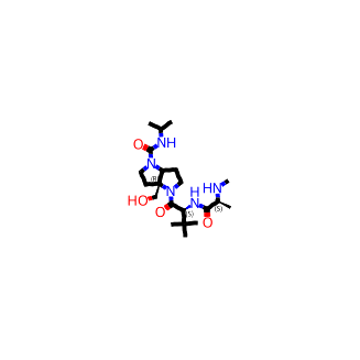 CN[C@@H](C)C(=O)N[C@H](C(=O)N1CCC2N(C(=O)NC(C)C)CC[C@]21CO)C(C)(C)C